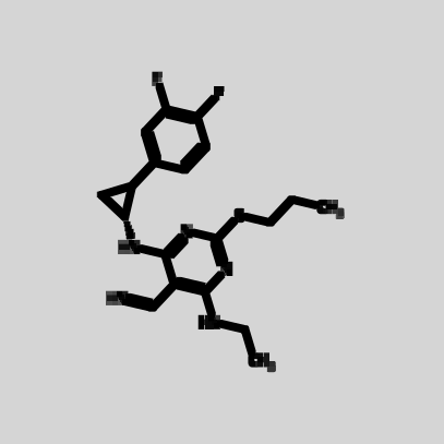 CCCSc1nc(NCC)c(C=N)c(N[C@@H]2CC2c2ccc(F)c(F)c2)n1